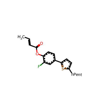 C/C=C/C(=O)Oc1ccc(-c2ccc(CCCCC)s2)cc1F